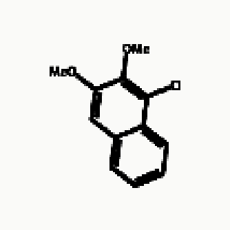 COc1cc2ccccc2c(Cl)c1OC